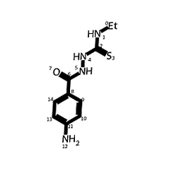 CCNC(=S)NNC(=O)c1ccc(N)cc1